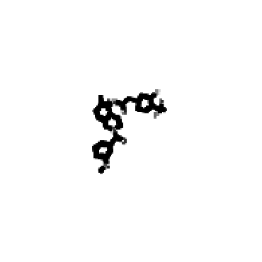 COc1cccc(C(=O)N2CCc3c(ccc(C)c3NC(=O)Cc3ccc(C(F)(F)F)c(F)c3)C2)c1